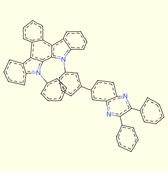 c1ccc(-c2nc3ccc(-c4cccc(-n5c6ccccc6c6c7ccccc7c7c8ccccc8n(-c8ccccc8)c7c65)c4)cc3nc2-c2ccccc2)cc1